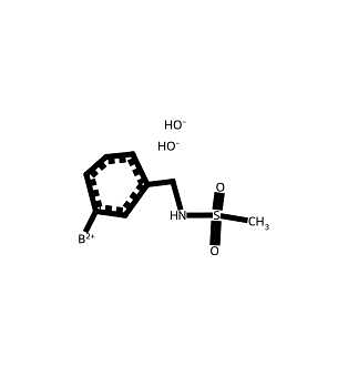 [B+2]c1cccc(CNS(C)(=O)=O)c1.[OH-].[OH-]